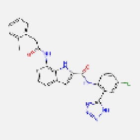 Cc1ccccc1CC(=O)Nc1cccc2cc(C(=O)Nc3ccc(Cl)cc3-c3nnn[nH]3)[nH]c12